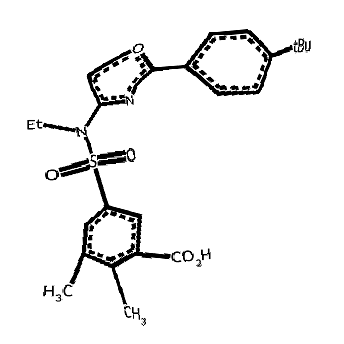 CCN(c1coc(-c2ccc(C(C)(C)C)cc2)n1)S(=O)(=O)c1cc(C)c(C)c(C(=O)O)c1